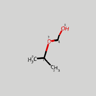 CC(C)OCO